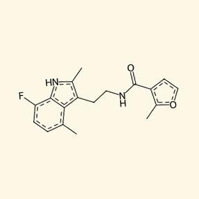 Cc1[nH]c2c(F)ccc(C)c2c1CCNC(=O)c1ccoc1C